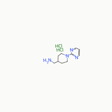 Cl.Cl.NCC1CCN(c2ncccn2)CC1